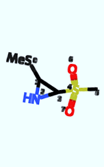 CSC1NC1S(C)(=O)=O